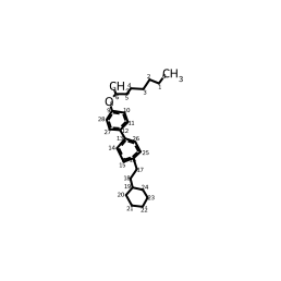 CCCCCCC(C)Oc1ccc(-c2ccc(CCC3CC[CH]CC3)cc2)cc1